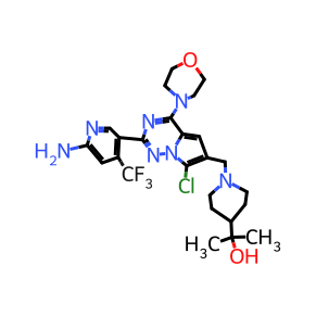 CC(C)(O)C1CCN(Cc2cc3c(N4CCOCC4)nc(-c4cnc(N)cc4C(F)(F)F)nn3c2Cl)CC1